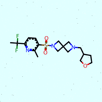 Cc1nc(C(C)(F)F)ccc1S(=O)(=O)N1CC2(CN(CC3CCOC3)C2)C1